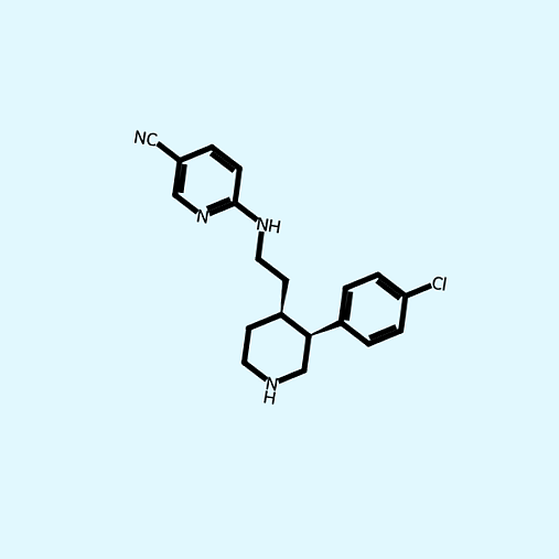 N#Cc1ccc(NCC[C@@H]2CCNC[C@@H]2c2ccc(Cl)cc2)nc1